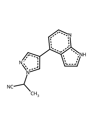 CC(C#N)n1cc(-c2ccnc3[nH]ccc23)cn1